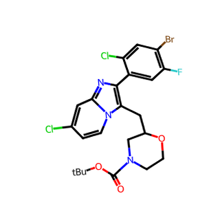 CC(C)(C)OC(=O)N1CCOC(Cc2c(-c3cc(F)c(Br)cc3Cl)nc3cc(Cl)ccn23)C1